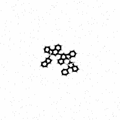 c1ccc(-c2nc(-n3c4ccccc4c4cc(-c5cc6c(c7ccccc57)c5ccccc5n6-c5ccc6ccccc6c5)c5ccccc5c43)nc3ccccc23)cc1